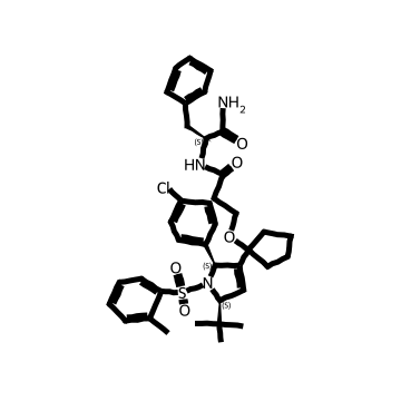 Cc1ccccc1S(=O)(=O)N1[C@@H](c2ccc(Cl)cc2)C(C2(OCCC(=O)N[C@@H](Cc3ccccc3)C(N)=O)CCCC2)=C[C@H]1C(C)(C)C